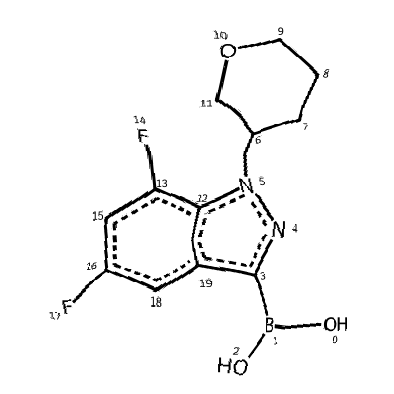 OB(O)c1nn(C2CCCOC2)c2c(F)cc(F)cc12